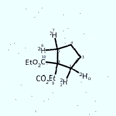 [2H]C1([2H])CCC([2H])([2H])C1(C(=O)OCC)C(=O)OCC